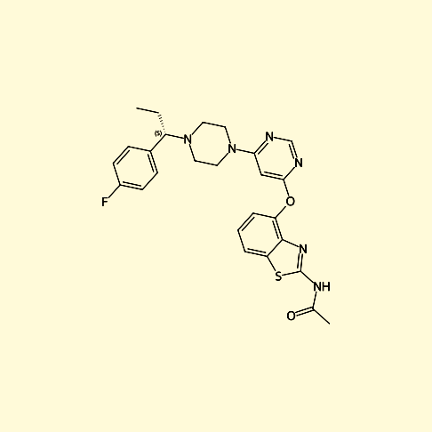 CC[C@@H](c1ccc(F)cc1)N1CCN(c2cc(Oc3cccc4sc(NC(C)=O)nc34)ncn2)CC1